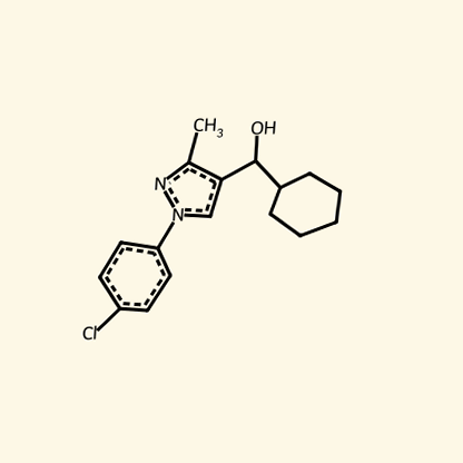 Cc1nn(-c2ccc(Cl)cc2)cc1C(O)C1CCCCC1